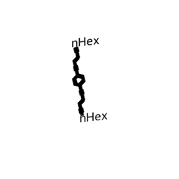 CCCCCCC#CC=CC#Cc1ccc(C#CC=CC#CCCCCCC)cc1